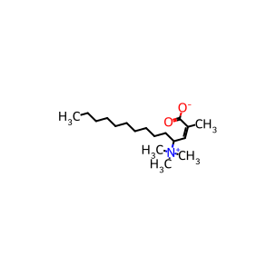 CCCCCCCCCCC(C=C(C)C(=O)[O-])[N+](C)(C)C